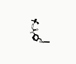 CNCc1cccc(NC(=O)OC(C)(C)C)c1